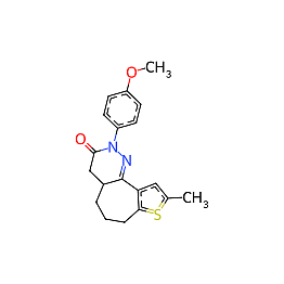 COc1ccc(N2N=C3c4cc(C)sc4CCCC3CC2=O)cc1